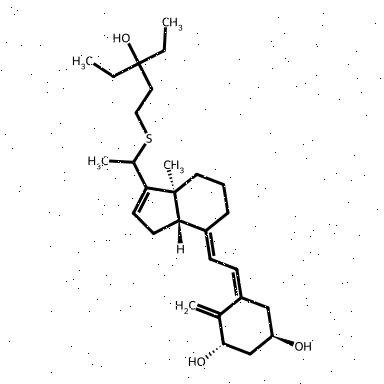 C=C1/C(=C\C=C2/CCC[C@]3(C)C(C(C)SCCC(O)(CC)CC)=CC[C@@H]23)C[C@@H](O)C[C@@H]1O